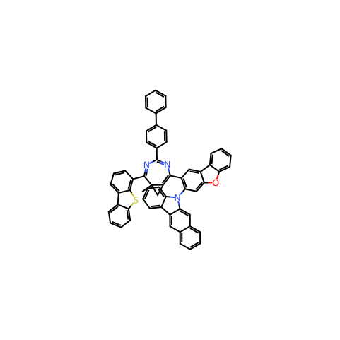 CC12CC1=C(c1cc3c(cc1-n1c4ccccc4c4cc5ccccc5cc41)oc1ccccc13)N=C(c1ccc(-c3ccccc3)cc1)N=C2c1cccc2c1sc1ccccc12